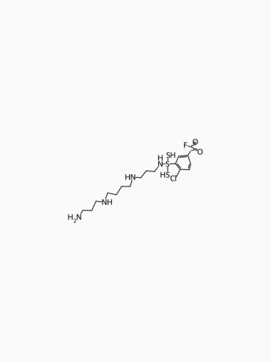 NCCCNCCCCNCCCNS(S)(S)c1cc(S(=O)(=O)F)ccc1Cl